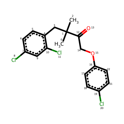 CC(C)(Cc1ccc(Cl)cc1Cl)C(=O)COc1ccc(Cl)cc1